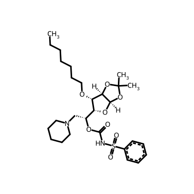 CCCCCCCO[C@@H]1[C@H]2OC(C)(C)O[C@H]2O[C@@H]1[C@@H](CN1CCCCC1)OC(=O)NS(=O)(=O)c1ccccc1